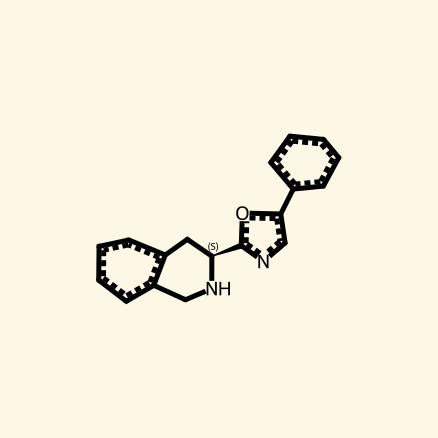 c1ccc(-c2cnc([C@@H]3Cc4ccccc4CN3)o2)cc1